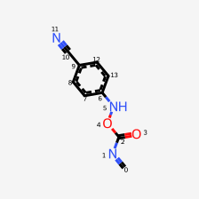 C=NC(=O)ONc1ccc(C#N)cc1